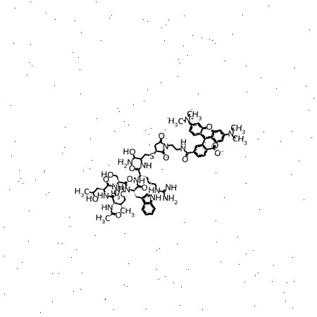 CC[C@H](C)[C@H](NC(C)=O)C(=O)N[C@@H](CC(C)O)C(=O)N[C@@H](CO)C(=O)N[C@@H](Cc1c[nH]c2ccccc12)C(=O)N[C@@H](CCCNC(=N)N)C(=O)NC(CSC1CC(=O)N(CCNC(=O)c2ccc(C(=O)[O-])c(-c3c4ccc(=[N+](C)C)cc-4oc4cc(N(C)C)ccc34)c2)C1=O)C(N)O